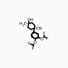 C[C@]1(O)CC[C@@](C#N)(c2ccc(OC(F)F)c(OC(F)F)c2)CC1